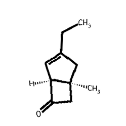 CCC1=C[C@@H]2C(=O)C[C@]2(C)C1